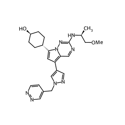 COC[C@H](C)Nc1ncc2c(-c3cnn(Cc4ccnnc4)c3)cc([C@H]3CC[C@H](O)CC3)n2n1